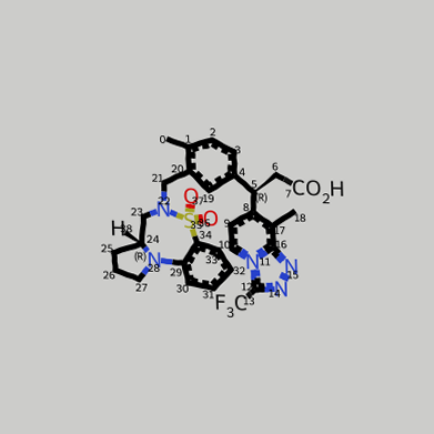 Cc1ccc([C@@H](CC(=O)O)c2ccn3c(C(F)(F)F)nnc3c2C)cc1CN1C[C@H]2CCCN2c2ccccc2S1(=O)=O